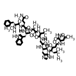 CN[C@H](Cc1ccccc1)C(=O)N[C@@H](CCC(N)=O)C(=O)N[C@@H](Cc1c[nH]c2ccccc12)C(=O)N[C@@H](C)C(=O)N[C@H](C(=O)NCC(=O)N[C@@H](Cc1c[nH]cn1)C(=O)N[C@@H](CC(C)C)[C@@H](O)CC(=O)NC(CC(C)C)C(N)=O)C(C)C